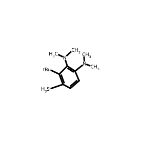 CN(C)c1ccc([SiH3])c(C(C)(C)C)c1N(C)C